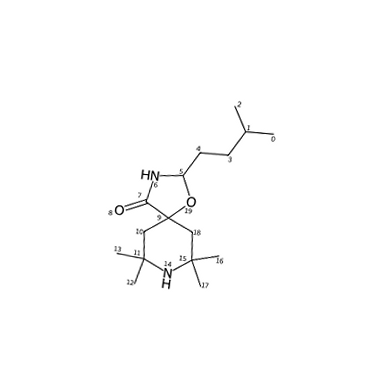 CC(C)CCC1NC(=O)C2(CC(C)(C)NC(C)(C)C2)O1